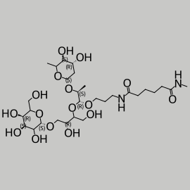 CNC(=O)CCCCC(=O)NCCCO[C@H](OC(CO)[C@H](O)CO[C@H]1OC(CO)[C@H](O)[C@H](O)C1O)[C@H](C)O[C@H]1C[C@@H](O)[C@H](O)C(C)O1